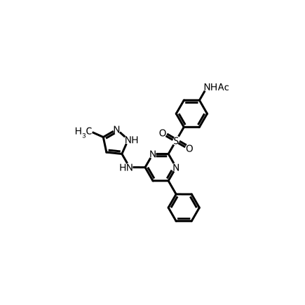 CC(=O)Nc1ccc(S(=O)(=O)c2nc(Nc3cc(C)n[nH]3)cc(-c3ccccc3)n2)cc1